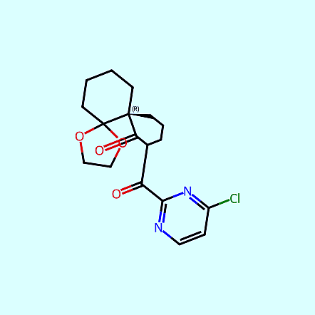 O=C(c1nccc(Cl)n1)C1CCC[C@@]2(CCCCC23OCCO3)C1=O